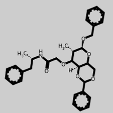 C[C@@H](Cc1ccccc1)NC(=O)COC1[C@@H]2OC(c3ccccc3)OCC2O[C@H](OCc2ccccc2)[C@H]1C